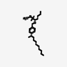 CCCCCCCCCC(C)c1ccc(COC(CCCC)C(C)(C)O[SiH3])cc1